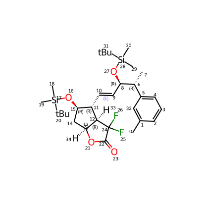 Cc1cccc([C@@H](C)[C@@H](/C=C/[C@@H]2[C@@H]3[C@H](C[C@H]2O[Si](C)(C)C(C)(C)C)OC(=O)C3(F)F)O[Si](C)(C)C(C)(C)C)c1